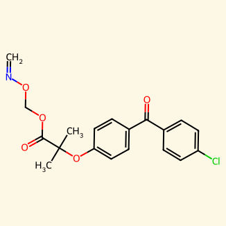 C=NOCOC(=O)C(C)(C)Oc1ccc(C(=O)c2ccc(Cl)cc2)cc1